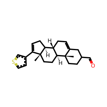 C[C@]12CCC(C=O)CC1=CC[C@@H]1[C@@H]2CC[C@]2(C)C(c3ccsc3)=CC[C@@H]12